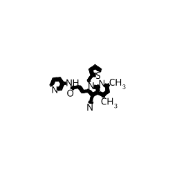 Cc1cc(C)c2c(C#N)c(C=CC(=O)Nc3cccnc3)n(Cc3cccs3)c2n1